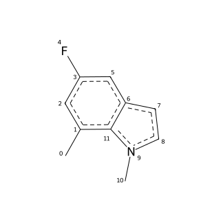 Cc1cc(F)cc2ccn(C)c12